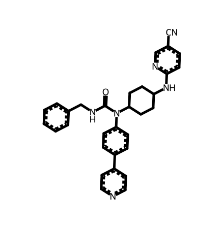 N#Cc1ccc(NC2CCC(N(C(=O)NCc3ccccc3)c3ccc(-c4ccncc4)cc3)CC2)nc1